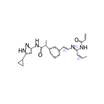 C=CC(=O)NC(/C=C\C)=N/C=C/c1cccc(C(C)C(=O)Nc2cc(C3CC3)[nH]n2)c1